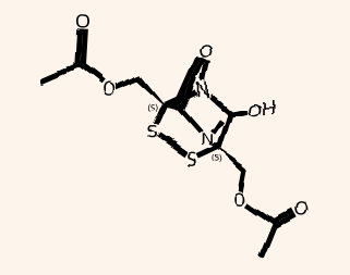 CC(=O)OC[C@@]12SS[C@@](COC(C)=O)(C(O)N1C)N(C)C2=O